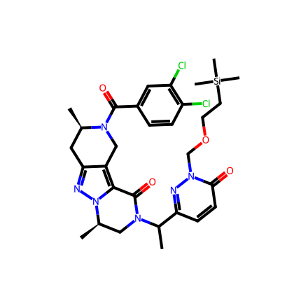 CC(c1ccc(=O)n(COCC[Si](C)(C)C)n1)N1C[C@@H](C)n2nc3c(c2C1=O)CN(C(=O)c1ccc(Cl)c(Cl)c1)[C@H](C)C3